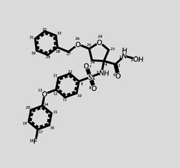 O=C(NO)C1(NS(=O)(=O)c2ccc(Oc3ccc(F)cc3)cc2)COC(OCc2ccccc2)C1